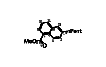 CCCCCc1ccc2c(C(=O)OC)cccc2c1